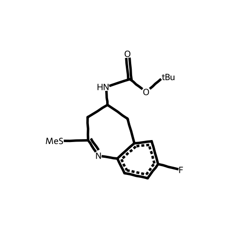 CSC1=Nc2ccc(F)cc2CC(NC(=O)OC(C)(C)C)C1